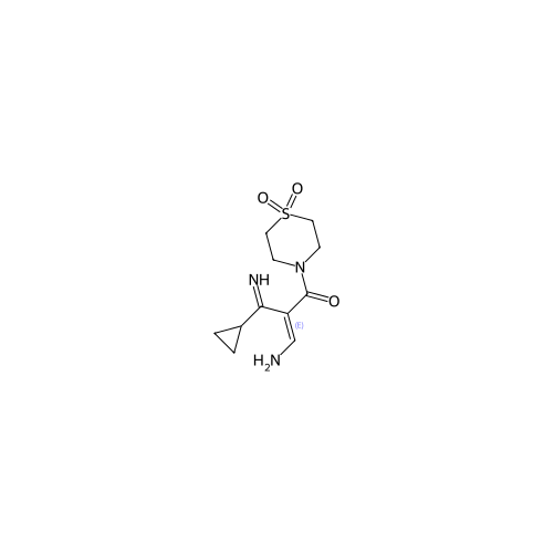 N=C(/C(=C\N)C(=O)N1CCS(=O)(=O)CC1)C1CC1